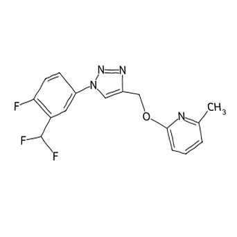 Cc1cccc(OCc2cn(-c3ccc(F)c(C(F)F)c3)nn2)n1